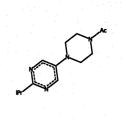 CC(=O)N1CCN(c2cnc(C(C)C)nc2)CC1